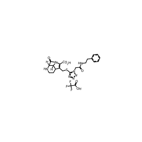 O=C(Cn1nnnc1SCC1=C(C(=O)O)N2C(=O)[C@H]3NCCC1[C@H]32)NCCc1ccccc1.O=C(O)C(F)(F)F